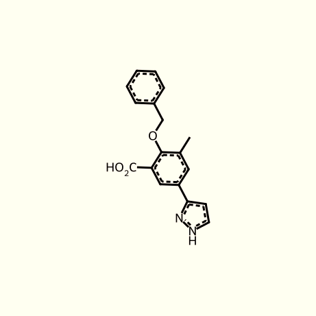 Cc1cc(-c2cc[nH]n2)cc(C(=O)O)c1OCc1ccccc1